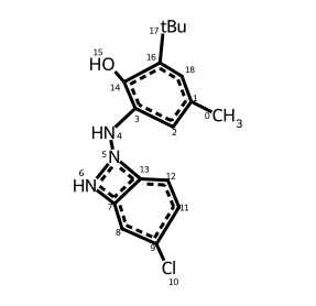 Cc1cc(Nn2[nH]c3cc(Cl)ccc32)c(O)c(C(C)(C)C)c1